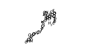 CCc1c(F)ccc2cc(OCOC)cc(-c3ncc4c(N5CCCOC6CC65)nc(OCC5(CN6CCC7(CC6)CC(CN6CCN(c8ccc9c(c8)CN(C8CCC(=O)NC8=O)C9=O)CC6)C7)CC5)nc4c3F)c12